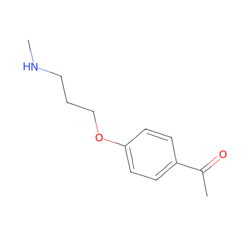 CNCCCOc1ccc(C(C)=O)cc1